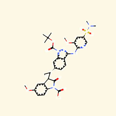 COc1ccc2c(c1)[C@]1(C[C@H]1c1ccc3c(Nc4ncc(S(=O)(=O)N(C)C)cc4OC)nn(C(=O)OC(C)(C)C)c3c1)C(=O)N2C(=O)O